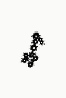 c1ccc2c3c(ccc2c1)C1(c2ccc(-c4ccc(-c5nc(-c6cccc7c6oc6ccccc67)nc(-c6cccc7c6oc6ccccc67)n5)cc4)cc2-3)C2CC3CC(C2)CC1C3